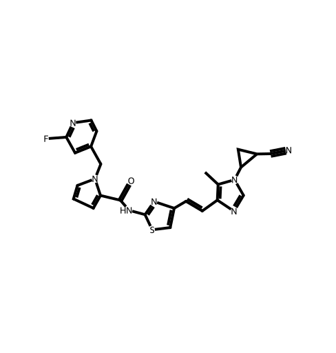 Cc1c(/C=C/c2csc(NC(=O)c3cccn3Cc3ccnc(F)c3)n2)ncn1C1CC1C#N